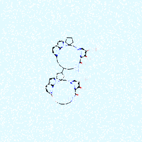 O=C1NCCC(C2CCC3(C2)Cn2cc(O)c(=O)c(n2)C(=O)NCCCCOc2ccc4ccn3c4n2)CCc2ccc3ccn(c3n2)C2(CCCC2)Cn2cc(O)c(=O)c1n2